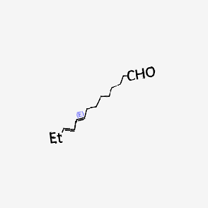 CCC=C/C=C/CCCCCCCC=O